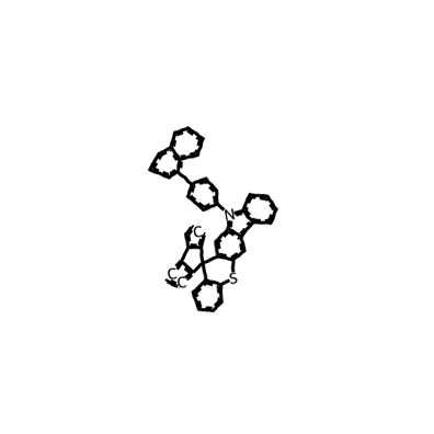 c1ccc2c(c1)Sc1cc3c4ccccc4n(-c4ccc(-c5cccc6ccccc56)cc4)c3cc1C21c2ccccc2-c2ccccc21